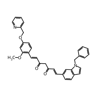 COc1cc(OCc2ccccn2)ccc1C=CC(=O)CC(=O)C=Cc1ccc2ccn(Cc3ccccc3)c2c1